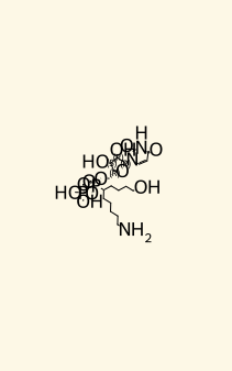 NCCCCCC(CCCCO)P(=O)(OC[C@H]1O[C@@H](n2ccc(=O)[nH]c2=O)[C@H](O)[C@@H]1O)OP(=O)(O)O